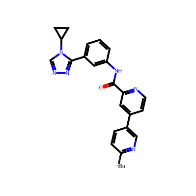 CC(C)(C)c1ccc(-c2ccnc(C(=O)Nc3cccc(-c4nncn4C4CC4)c3)c2)cn1